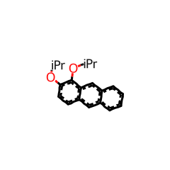 CC(C)Oc1ccc2cc3ccccc3cc2c1OC(C)C